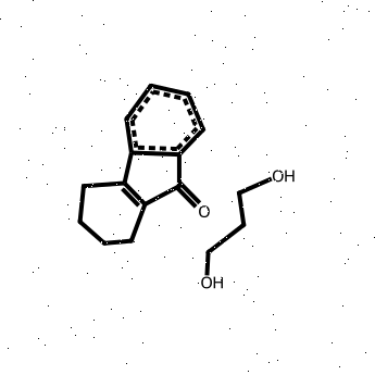 O=C1C2=C(CCCC2)c2ccccc21.OCCCO